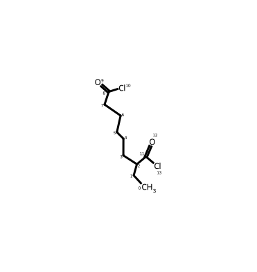 CCC(CCCCCC(=O)Cl)C(=O)Cl